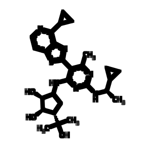 Cc1nc(N[C@H](C)C2CC2)nc(NC2C[C@H](C(C)(C)O)[C@@H](O)[C@H]2O)c1-c1nc2c(C3CC3)nccc2s1